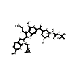 COc1ccc2cc(-c3oc4cc(C(=O)C5C[C@H](F)C[C@@H](NC(=O)OC(C)(C)C)C5)cc(OC)c4c3CCO)n(CC3CC3)c2c1